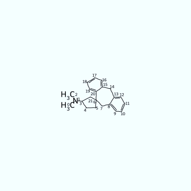 CN(C)C1CCC2(Cc3ccccc3Cc3ccccc32)C1